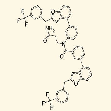 NC(=O)CCN(C(=O)c1cccc(-c2cccc3oc(Cc4cccc(C(F)(F)F)c4)cc23)c1)c1cccc(-c2cccc3oc(Cc4cccc(C(F)(F)F)c4)cc23)c1